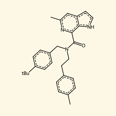 Cc1ccc(CCN(Cc2ccc(C(C)(C)C)cc2)C(=O)c2nc(C)cc3cc[nH]c23)cc1